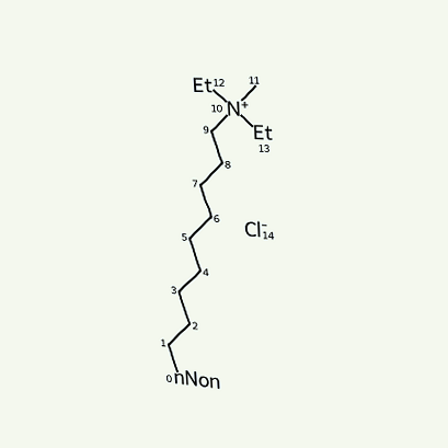 CCCCCCCCCCCCCCCCCC[N+](C)(CC)CC.[Cl-]